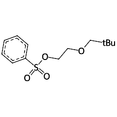 CC(C)(C)COCCOS(=O)(=O)c1ccccc1